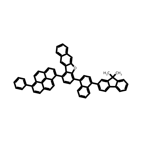 CC1(C)c2ccccc2-c2ccc(-c3ccc(-c4ccc(-c5ccc6ccc7c(-c8ccccc8)ccc8ccc5c6c87)c5c4oc4cc6ccccc6cc45)c4ccccc34)cc21